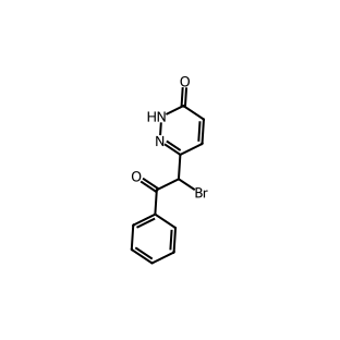 O=C(c1ccccc1)C(Br)c1ccc(=O)[nH]n1